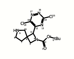 CC(C)(C)OC(=O)N1CC2(CCNC2)C1c1nc(Cl)nnc1Cl